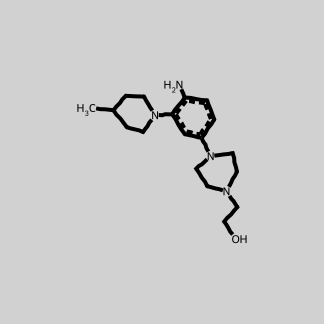 CC1CCN(c2cc(N3CCN(CCO)CC3)ccc2N)CC1